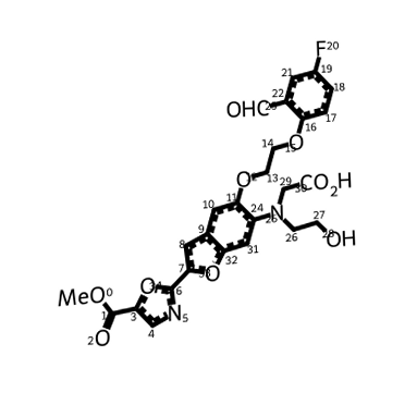 COC(=O)c1cnc(-c2cc3cc(OCCOc4ccc(F)cc4C=O)c(N(CCO)CC(=O)O)cc3o2)o1